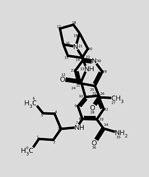 CCCC(CCC)Nc1cc(C(=O)NC2CC3CCC(C2)N3c2ccc(C(C)=O)cn2)ccc1C(N)=O